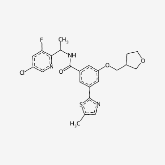 Cc1cnc(-c2cc(OCC3CCOC3)cc(C(=O)NC(C)c3ncc(Cl)cc3F)c2)s1